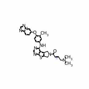 Cc1cc(Nc2ncnc3sc4c(c23)CN(C(=O)/C=C/CN(C)C)C4)ccc1Oc1ccc2ncnn2c1